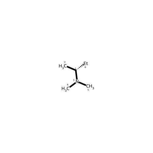 CC[C@@H](C)N(C)C